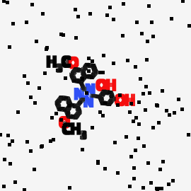 COc1ccc(-c2nc(-c3ccc(O)cc3O)nc(-c3ccc(OC)c4ccccc34)n2)c2ccccc12